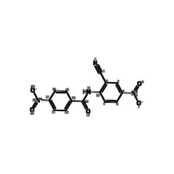 N#Cc1cc([N+](=O)[O-])ccc1NC(=O)c1ccc([N+](=O)[O-])cc1